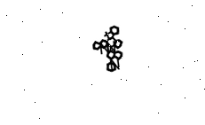 CC1(C)C2=C(c3ccccc3N(c3ccc(-c4ccccn4)c4ccccc34)c3nc4ccccc4cc32)c2ccccc21